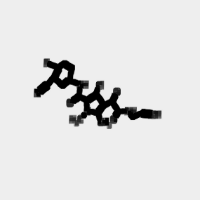 C#CCNC(=O)C(=O)c1c(Cl)c(C(=O)Nc2ccc(F)c(C#N)c2)n(C)c1C